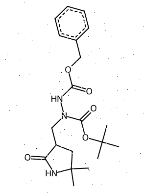 CC1(C)CC(CN(NC(=O)OCc2ccccc2)C(=O)OC(C)(C)C)C(=O)N1